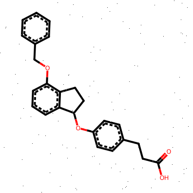 O=C(O)CCc1ccc(OC2CCc3c(OCc4ccccc4)cccc32)cc1